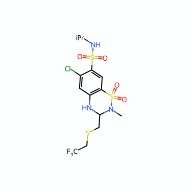 CC(C)NS(=O)(=O)c1cc2c(cc1Cl)NC(CSCC(F)(F)F)N(C)S2(=O)=O